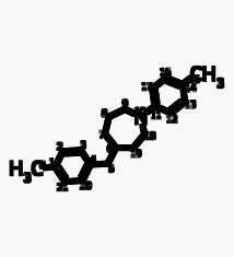 Cc1ccc(CC2CCCN(c3ccc(C)cc3)CC2)cc1